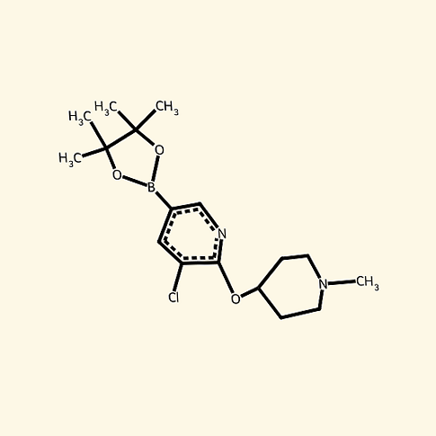 CN1CCC(Oc2ncc(B3OC(C)(C)C(C)(C)O3)cc2Cl)CC1